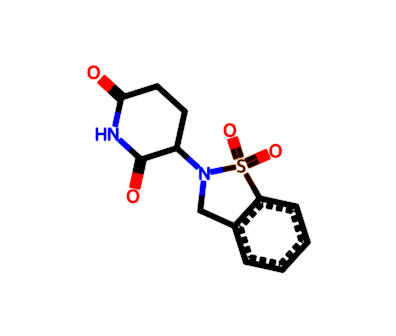 O=C1CCC(N2Cc3ccccc3S2(=O)=O)C(=O)N1